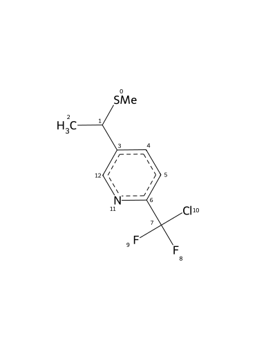 CSC(C)c1ccc(C(F)(F)Cl)nc1